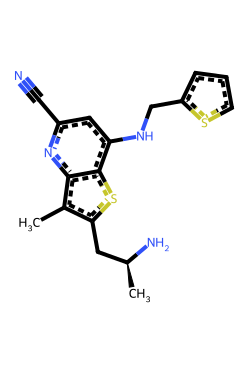 Cc1c(C[C@H](C)N)sc2c(NCc3cccs3)cc(C#N)nc12